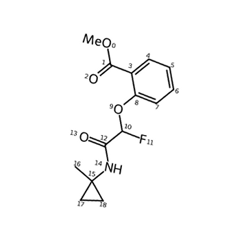 COC(=O)c1ccccc1OC(F)C(=O)NC1(C)CC1